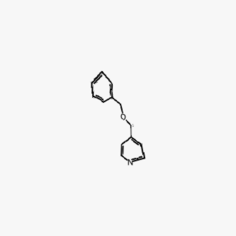 [C](OCc1ccccc1)c1ccncc1